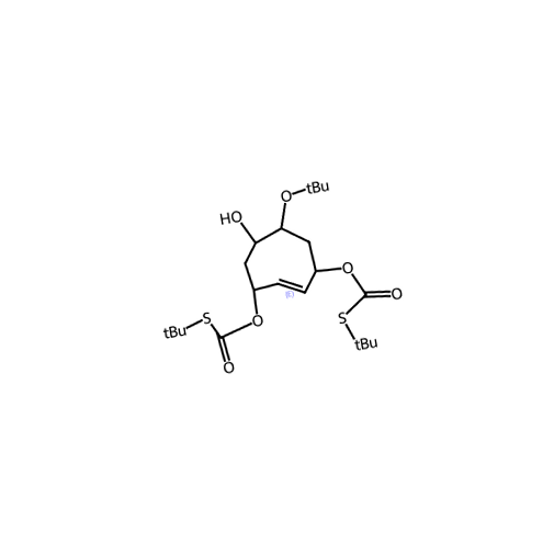 CC(C)(C)OC1CC(OC(=O)SC(C)(C)C)/C=C/C(OC(=O)SC(C)(C)C)CC1O